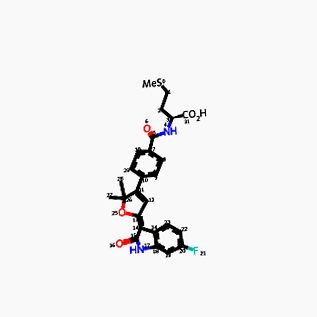 CSCC[C@H](NC(=O)c1ccc(C2=CC(=C3C(=O)Nc4cc(F)ccc43)OC2(C)C)cc1)C(=O)O